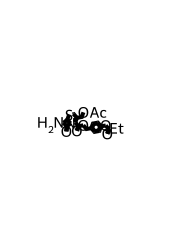 CCC(=O)Oc1ccc(COC(=O)C2=C(COC(C)=O)CSC3C(N)C(=O)N23)cc1